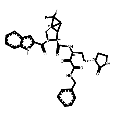 O=C(NCc1ccccc1)C(=O)[C@H](CC[C@@H]1CCNC1=O)NC(=O)[C@@H]1C2C3C(F)(F)[C@]23CN1C(=O)c1cc2ccccc2[nH]1